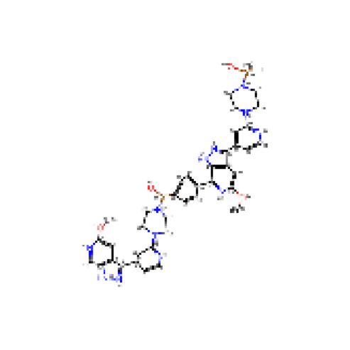 CC(C)Oc1cc2c(-c3ccnc(N4CCN([S+]([O-])c5ccc(-c6nc(OC(C)C)cc7c(-c8ccnc(N9CCN([S+](C)[O-])CC9)c8)n[nH]c67)cc5)CC4)c3)n[nH]c2cn1